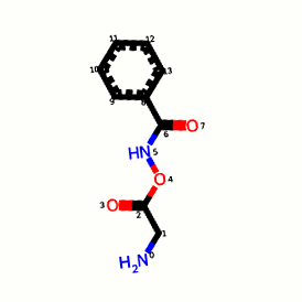 NCC(=O)ONC(=O)c1ccccc1